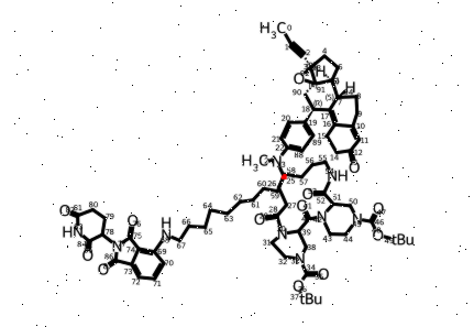 CC#C[C@]12CC[C@H]3[C@@H]4CCC5=CC(=O)CCC5=C4[C@@H](c4ccc(N(C)CCCC(=O)N5CCN(C(=O)OC(C)(C)C)CC5C(=O)N5CCN(C(=O)OC(C)(C)C)CC5C(=O)NCCCCCCCCCCCCCNc5cccc6c5C(=O)N(C5CCC(=O)NC5=O)C6=O)cc4)C[C@@]31O2